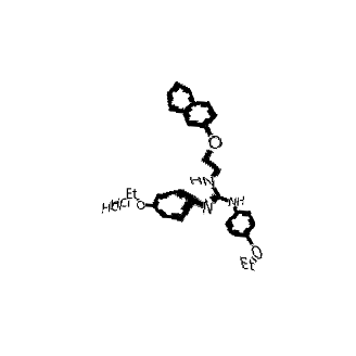 CCOc1ccc(/N=C(\NCCOc2ccc3ccccc3c2)Nc2ccc(OCC)cc2)cc1.Cl.Cl